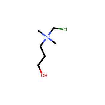 C[N+](C)(CCl)CCCO